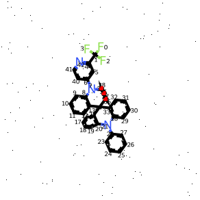 FC(F)(F)c1cc(N2c3ccccc3C3(c4ccccc4N(c4ccccc4)c4ccccc43)c3ccccc32)ccn1